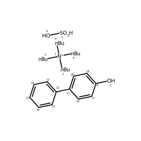 CCCC[N+](CCCC)(CCCC)CCCC.O=S(=O)(O)O.Oc1ccc(-c2ccccc2)cc1